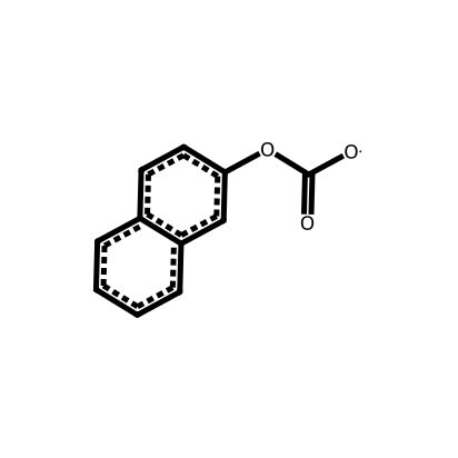 [O]C(=O)Oc1ccc2ccccc2c1